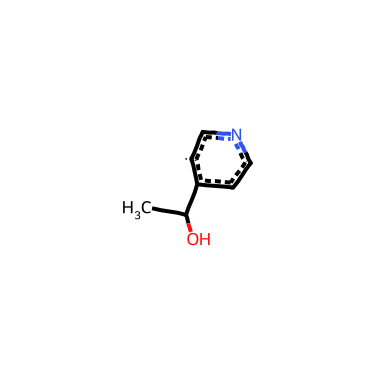 CC(O)c1[c]cncc1